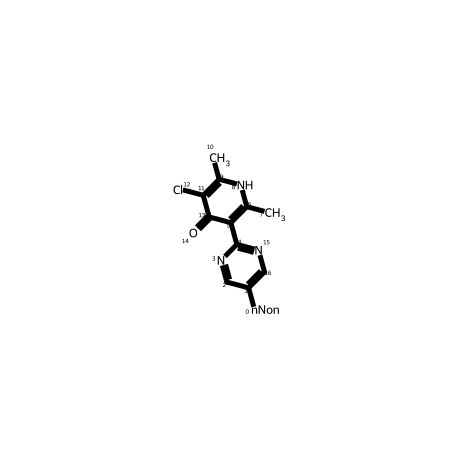 CCCCCCCCCc1cnc(-c2c(C)[nH]c(C)c(Cl)c2=O)nc1